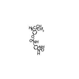 CC(C)(C)c1ccc(OCC(=O)NCc2ccc3[nH]c(=O)[nH]c3c2)cc1F